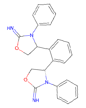 N=C1OCC(c2ccccc2C2COC(=N)N2c2ccccc2)N1c1ccccc1